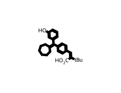 CC(C)(C)C(=Cc1ccc(C(=C2CCCCCC2)c2cccc(O)c2)cc1)C(=O)O